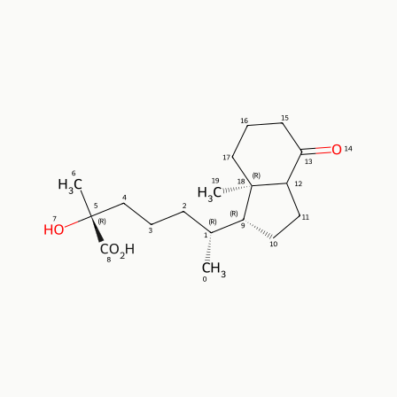 C[C@H](CCC[C@@](C)(O)C(=O)O)[C@H]1CCC2C(=O)CCC[C@@]21C